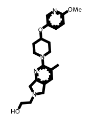 COc1ccc(OC2CCN(c3nc4c(cc3C)CN(CCO)C4)CC2)cn1